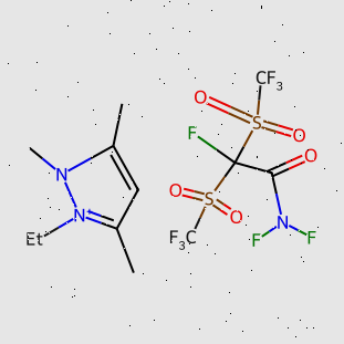 CC[n+]1c(C)cc(C)n1C.O=C(N(F)F)C(F)(S(=O)(=O)C(F)(F)F)S(=O)(=O)C(F)(F)F